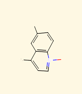 CCCCc1ccc2c(c1)c([N+](=O)[O-])cc[n+]2[O-]